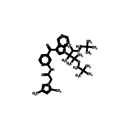 Cc1cc(C)n(CC(=O)Nc2cc(C(=O)c3cn(C(C)(C(C)O[SiH2]C(C)(C)C)C(C)(C)O[SiH2]C(C)(C)C)c4ncncc34)ccn2)n1